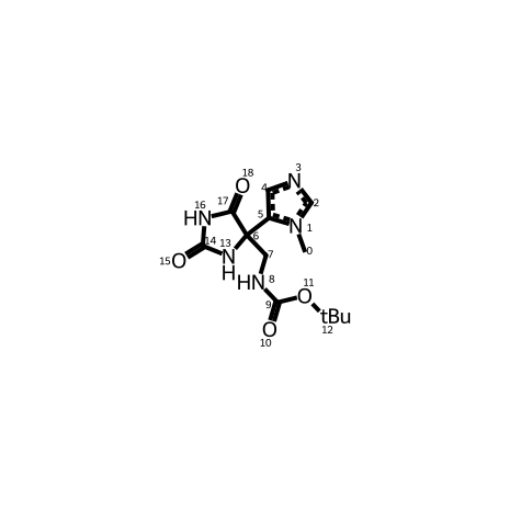 Cn1cncc1C1(CNC(=O)OC(C)(C)C)NC(=O)NC1=O